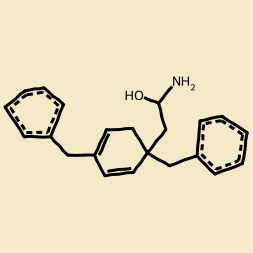 NC(O)CC1(Cc2ccccc2)C=CC(Cc2ccccc2)=CC1